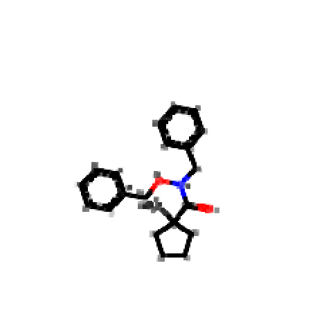 O=C(O)C1(C(=O)N(Cc2ccccc2)OCc2ccccc2)CCCC1